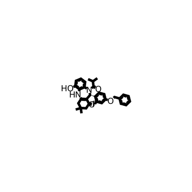 CC(C)C(=O)N1c2cccc(O)c2NC2=C(C(=O)CC(C)(C)C2)[C@H]1c1ccc(OCc2ccccc2)cc1F